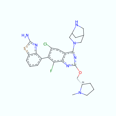 CN1CCC[C@H]1COc1nc(N2CC3CNC(C3)C2)c2cc(Cl)c(-c3cccc4sc(N)nc34)c(F)c2n1